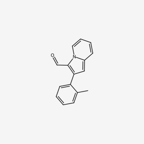 Cc1ccccc1-c1cc2ccccn2c1C=O